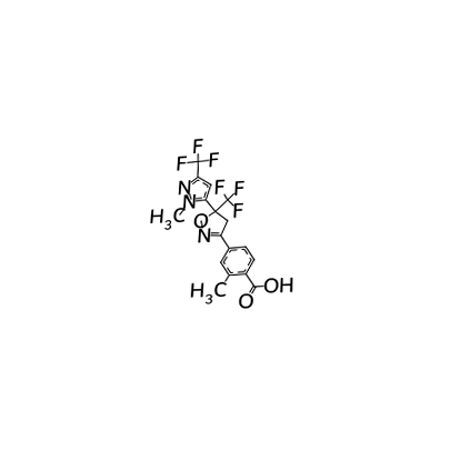 Cc1cc(C2=NOC(c3cc(C(F)(F)F)nn3C)(C(F)(F)F)C2)ccc1C(=O)O